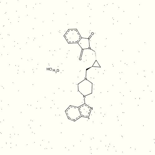 Cl.O.O=C1c2ccccc2C(=O)N1C[C@@H]1C[C@H]1CN1CCN(c2nsc3ccccc23)CC1